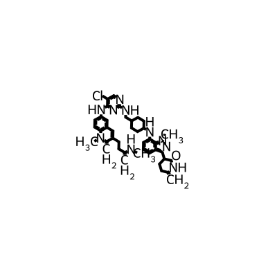 C=C(CCC1=Cc2cc(Nc3nc(NCC4CCC(Nc5cccc6c(C7CCC(=C)NC7=O)nn(C)c56)CC4)ncc3Cl)ccc2N(C)C1=C)NC